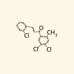 Cc1cc(Cl)c(Cl)cc1C(=O)C=Cc1ccccc1Cl